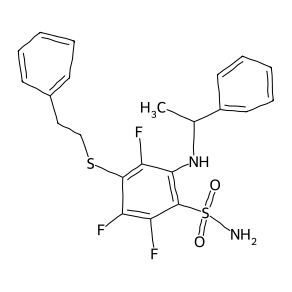 CC(Nc1c(F)c(SCCc2ccccc2)c(F)c(F)c1S(N)(=O)=O)c1ccccc1